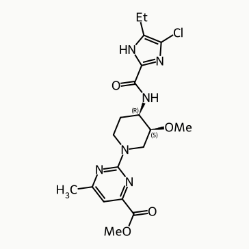 CCc1[nH]c(C(=O)N[C@@H]2CCN(c3nc(C)cc(C(=O)OC)n3)C[C@@H]2OC)nc1Cl